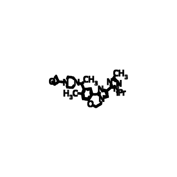 Cc1nc(-c2cn3c(n2)-c2cc(C(C)N4CCN(C5COC5)CC4)c(C)cc2OCC3)n(C(C)C)n1